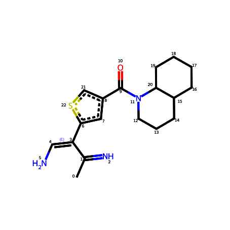 CC(=N)/C(=C\N)c1cc(C(=O)N2CCCC3CCCCC32)cs1